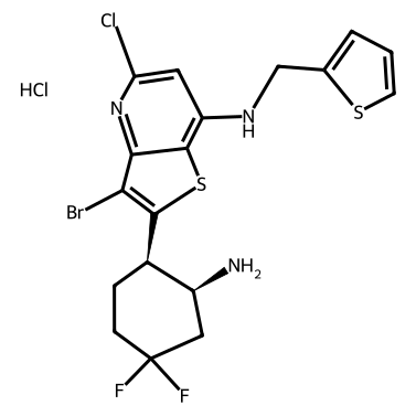 Cl.N[C@H]1CC(F)(F)CC[C@H]1c1sc2c(NCc3cccs3)cc(Cl)nc2c1Br